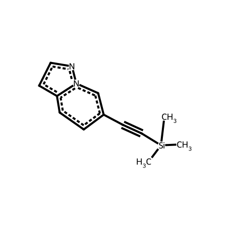 C[Si](C)(C)C#Cc1ccc2ccnn2c1